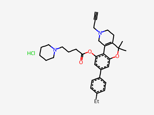 C#CCN1CCC2=C(C1)c1c(OC(=O)CCCN3CCCCC3)cc(-c3ccc(CC)cc3)cc1OC2(C)C.Cl